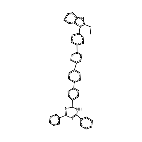 CCc1nc2ccccc2n1-c1ccc(-c2ccc(-c3ccc(-c4ccc(C5N=C(c6ccccc6)N=C(c6ccccc6)N5)cc4)cc3)cc2)cc1